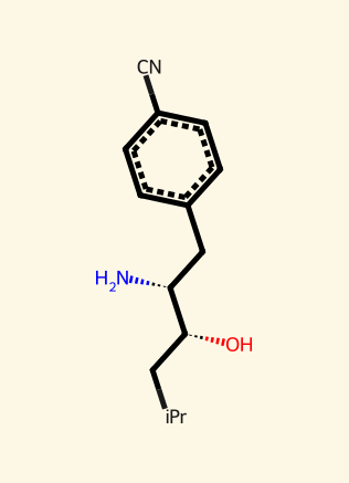 CC(C)C[C@@H](O)[C@H](N)Cc1ccc(C#N)cc1